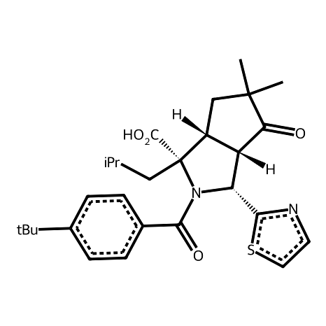 CC(C)C[C@@]1(C(=O)O)[C@@H]2CC(C)(C)C(=O)[C@@H]2[C@H](c2nccs2)N1C(=O)c1ccc(C(C)(C)C)cc1